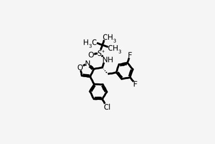 CC(C)(C)[S+]([O-])N[C@H](Cc1cc(F)cc(F)c1)c1nocc1-c1ccc(Cl)cc1